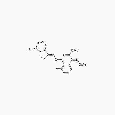 CO/N=C(/C(=O)OC)c1cccc(C)c1CO/N=C1\CCc2c(Br)cccc21